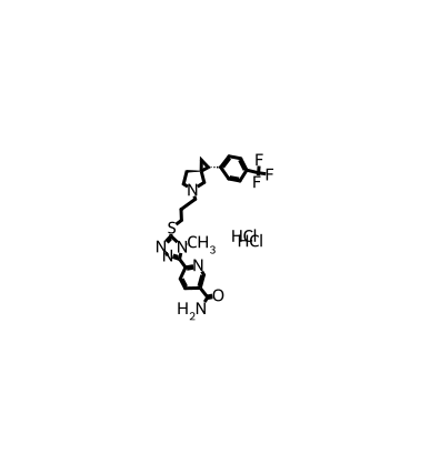 Cl.Cl.Cn1c(SCCCN2CC[C@]3(C[C@@H]3c3ccc(C(F)(F)F)cc3)C2)nnc1-c1ccc(C(N)=O)cn1